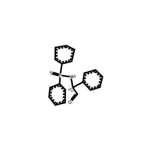 C[C@](C=O)(NP(=S)(c1ccccc1)c1ccccc1)c1ccccc1